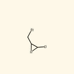 CCCC1OC1Cl